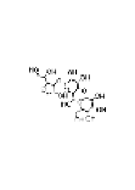 OCC(O)C1OCC(O)C1O[C@H]1OC(CO)[C@@H](O[C@H]2OC(CO)[C@@H](O)[C@@H](O)C2O)[C@@H](O)C1O